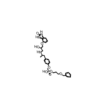 CC(Cc1ccc(OCP(=O)(O)OCCCOCc2ccccc2)cc1)NCC(O)COc1cccc2[nH]c(=O)[nH]c12